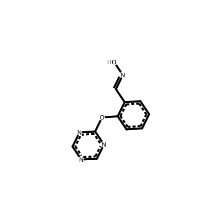 ON=Cc1ccccc1Oc1ncncn1